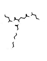 NCCOCCOCC(=O)NC(CCC(=O)NC(CCC(=O)O)C(=O)O)C(=O)NC(CCC(=O)O)C(=O)O